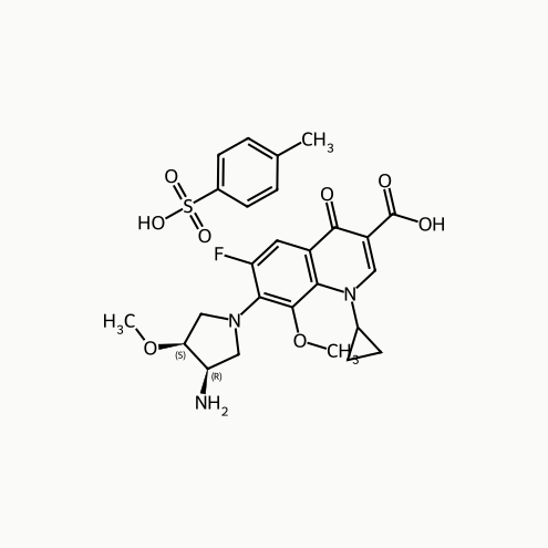 COc1c(N2C[C@@H](N)[C@@H](OC)C2)c(F)cc2c(=O)c(C(=O)O)cn(C3CC3)c12.Cc1ccc(S(=O)(=O)O)cc1